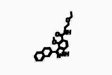 CCOCCNC(=O)c1ccc2[nH]nc(-c3ccc4ccccc4c3)c2c1OC